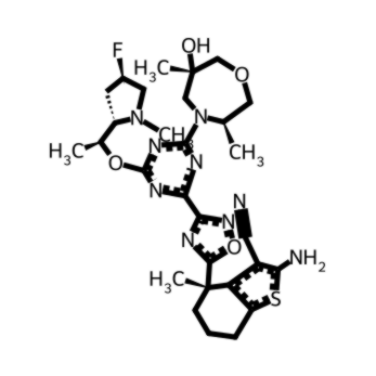 C[C@H](Oc1nc(-c2noc([C@@]3(C)CCCc4sc(N)c(C#N)c43)n2)nc(N2C[C@](C)(O)COC[C@H]2C)n1)[C@@H]1C[C@@H](F)CN1C